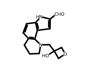 O=Cc1cc2c3c(ccc2[nH]1)CCCN3CC1(O)COC1